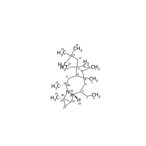 CCC1CC(C)(CC)C(C(C)(C)CC(C)(C)C)C[C@@H](C)N2[C@H]1C1C[C@]12C